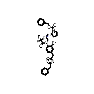 O=C(OCc1ccccc1)N1CCC[C@@H]1/C=C\CN(C(=O)C(F)(F)F)c1ccc(Cc2nc(Cc3ccccc3)no2)cc1Br